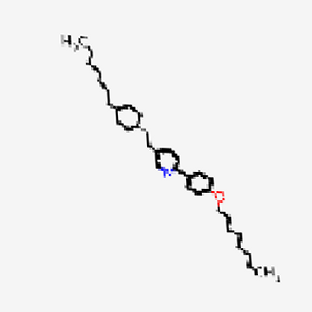 CCCCCCCCOc1ccc(-c2ccc(CC[C@H]3CC[C@H](CCCCCCC)CC3)cn2)cc1